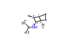 CCC(N[C@@H]1[C@@H]2CCC2[C@@H]1C)C(C)C